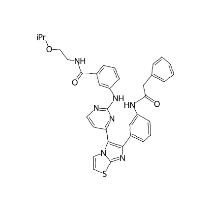 CC(C)OCCNC(=O)c1cccc(Nc2nccc(-c3c(-c4cccc(NC(=O)Cc5ccccc5)c4)nc4sccn34)n2)c1